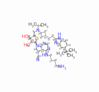 CC(C)N(C[C@H]1O[C@@H](n2cc(C#N)c3c(NCCCCN)ncnc32)[C@@H](O)[C@H]1O)C1CC(CCc2nc3cc(C(C)(C)C)ccc3[nH]2)C1